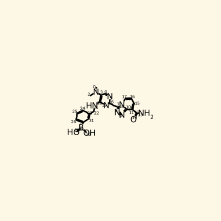 CN(C)c1cnc(-c2nnc3c(C(N)=O)cccn23)nc1NCc1cccc(B(O)O)c1